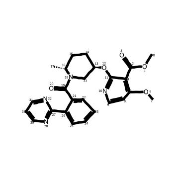 COC(=O)c1c(OC)ccnc1O[C@@H]1CC[C@@H](C)N(C(=O)c2ccccc2-c2ncccn2)C1